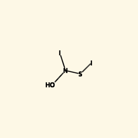 ON(I)SI